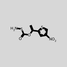 C=C(OC(=O)SN)c1cc([N+](=O)[O-])cs1